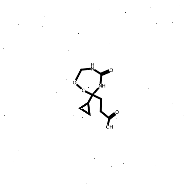 O=C(O)CCC1(C2CC2)COCNC(=O)N1